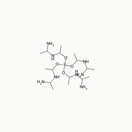 CC(N)NC(C)[O][Ti]([O]C(C)NC(C)N)([O]C(C)NC(C)N)[O]C(C)NC(C)N